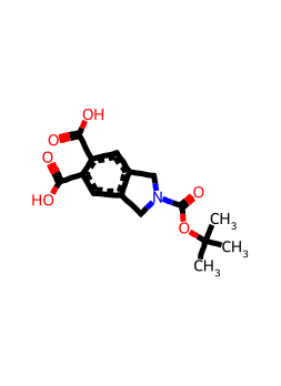 CC(C)(C)OC(=O)N1Cc2cc(C(=O)O)c(C(=O)O)cc2C1